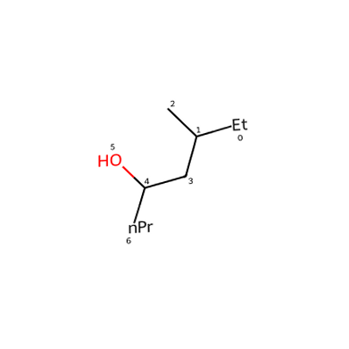 [CH2]CC(C)CC(O)CCC